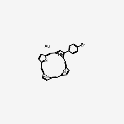 Brc1ccc(-c2cc3cc4nc(cc5ccc(cc6nc(cc2[nH]3)C=C6)[nH]5)C=C4)cc1.[Au]